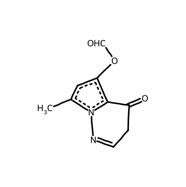 Cc1cc(OC=O)c2n1N=CCC2=O